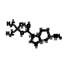 CC(C)(C)OC(=O)n1cnc2cc(N)ccc21